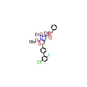 CCOCC(C)(C[C@@H](CCc1ccc(-c2cc(Cl)ccc2F)cc1)NC(=O)OC(C)(C)C)C(=O)OCc1ccccc1